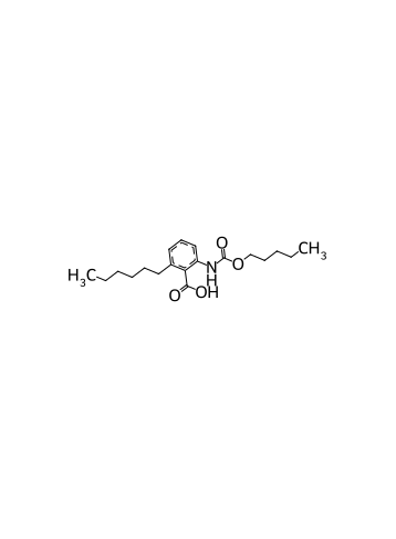 CCCCCCc1cccc(NC(=O)OCCCCC)c1C(=O)O